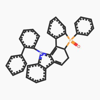 O=P1(c2ccccc2)c2ccccc2C2=c3c(c4ccccc4n3-c3ccccc3-c3ccccc3)=CCC21